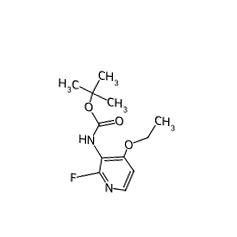 CCOc1ccnc(F)c1NC(=O)OC(C)(C)C